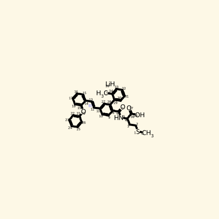 CSCCC(NC(=O)c1ccc(/C=C/c2ccccc2Oc2ccccc2)cc1-c1ccccc1C)C(=O)O.[LiH]